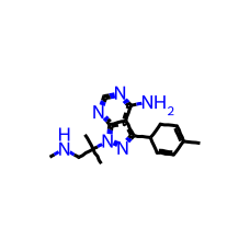 CNCC(C)(C)n1nc(C2C=CC(C)=CC2)c2c(N)ncnc21